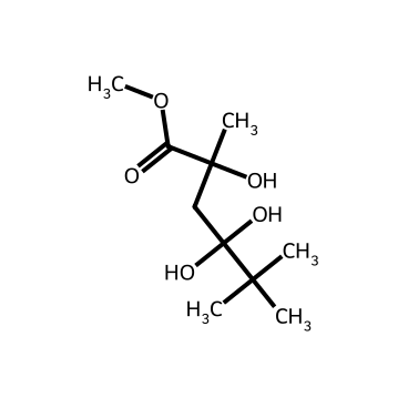 COC(=O)C(C)(O)CC(O)(O)C(C)(C)C